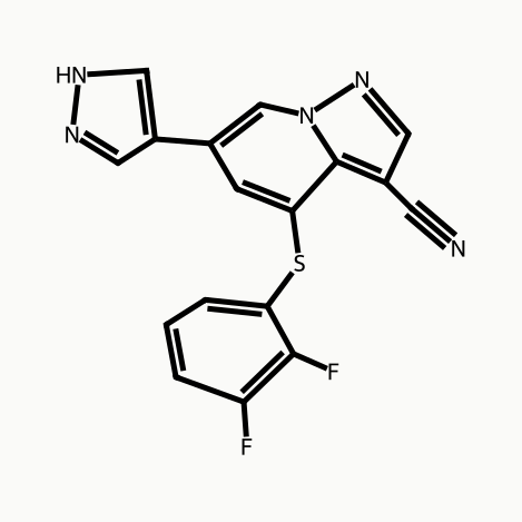 N#Cc1cnn2cc(-c3cn[nH]c3)cc(Sc3cccc(F)c3F)c12